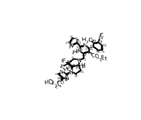 CCOC(=O)C1=C(CN2CC(F)(F)[C@H]3[C@@H]2CCN3c2nc(C(=O)O)cs2)NC(c2nccs2)=N[C@H]1c1cccc(F)c1C